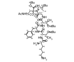 CC(=O)NSC[C@](C(=O)O)(C(=O)OC(C)(C)C)N(C)C(=O)[C@H](COC(C)(C)C)NC(=O)[C@@H](NC(=O)[C@H](Cc1ccccc1)NC(=O)[C@@H](NC(=O)[C@@H](N)CCCCN)[C@@H](C)OC(C)(C)C)[C@@H](C)OC(C)(C)C